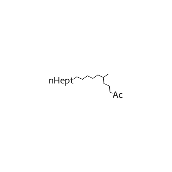 CCCCCCCCCCCCC(C)CCCC(C)=O